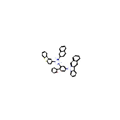 c1ccc2cc(-c3nc(-c4ccc5sc6ccccc6c5c4)nc(-c4cc(-n5c6ccccc6c6cc7ccccc7cc65)cc5oc6ccccc6c45)n3)ccc2c1